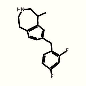 CC1CNCCc2ccc(Cc3ccc(F)cc3F)cc21